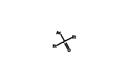 CCP(=O)(CC)C(C)=O